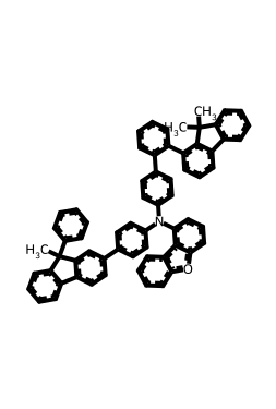 CC1(C)c2ccccc2-c2cccc(-c3ccccc3-c3ccc(N(c4ccc(-c5ccc6c(c5)C(C)(c5ccccc5)c5ccccc5-6)cc4)c4cccc5oc6ccccc6c45)cc3)c21